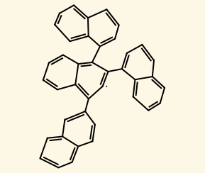 [c]1c(-c2cccc3ccccc23)c(-c2cccc3ccccc23)c2ccccc2c1-c1ccc2ccccc2c1